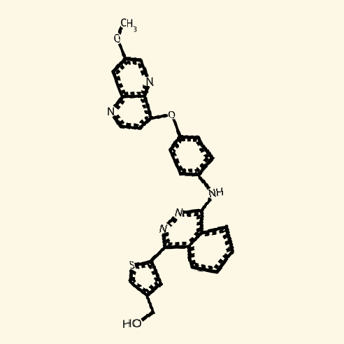 COc1cnc2c(Oc3ccc(Nc4nnc(-c5cc(CO)cs5)c5ccccc45)cc3)ccnc2c1